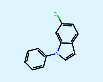 Clc1ccc2[c]cn(-c3ccccc3)c2c1